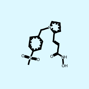 CS(=O)(=O)c1ccc(Cn2cccc2C=CC(=O)NO)cc1